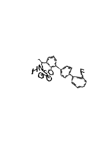 CC1NS(=O)(=O)Oc2c(-c3ccc(-c4ccccc4F)cc3)cccc21